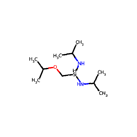 CC(C)N[SiH](COC(C)C)NC(C)C